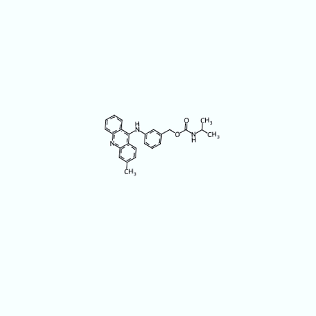 Cc1ccc2c(Nc3cccc(COC(=O)NC(C)C)c3)c3ccccc3nc2c1